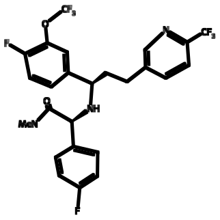 CNC(=O)[C@@H](N[C@H](CCc1ccc(C(F)(F)F)nc1)c1ccc(F)c(OC(F)(F)F)c1)c1ccc(F)cc1